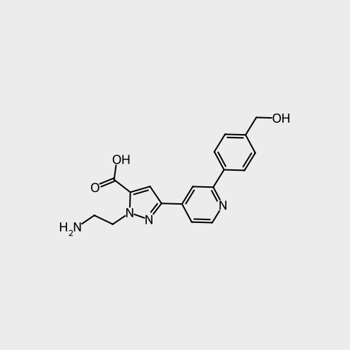 NCCn1nc(-c2ccnc(-c3ccc(CO)cc3)c2)cc1C(=O)O